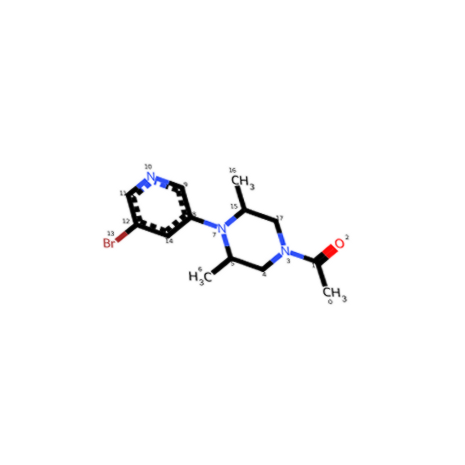 CC(=O)N1CC(C)N(c2cncc(Br)c2)C(C)C1